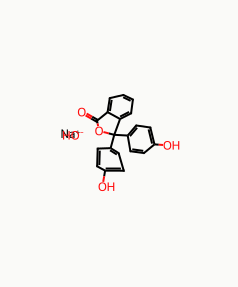 O=C1OC(c2ccc(O)cc2)(c2ccc(O)cc2)c2ccccc21.[Na+].[OH-]